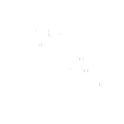 CC(C)(NS(=O)(=O)c1ccc(NC(=O)NCc2cccnc2)cc1)c1ccccc1